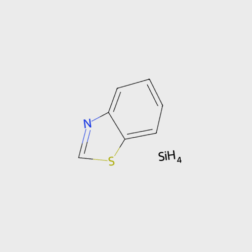 [SiH4].c1ccc2scnc2c1